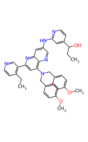 CCc1ccncc1-c1cc(N(Cc2ccc(OC)cc2)Cc2ccc(OC)cc2)c2ncc(Nc3cc(C(O)CC)ccn3)cc2n1